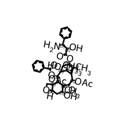 CC(=O)O[C@H]1C(=O)[C@@]2(C)C([C@H](OC(=O)c3ccccc3)[C@]3(O)C[C@H](OC(=O)[C@H](O)[C@@H](N)c4ccccc4)C(C)=C1C3(C)C)[C@]1(OC(C)=O)CO[C@@H]1C[C@@H]2O